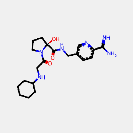 N=C(N)c1ccc(CNC(=O)[C@@]2(O)CCCN2C(=O)CNC2CCCCC2)cn1